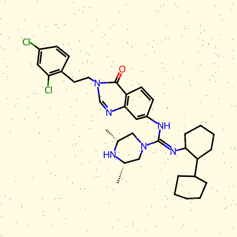 C[C@@H]1CN(/C(=N/C2CCCCC2C2CCCCC2)Nc2ccc3c(=O)n(CCc4ccc(Cl)cc4Cl)cnc3c2)C[C@H](C)N1